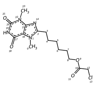 Cn1c(CCCCCCOC(=O)CCl)nc2c1c(=O)[nH]c(=O)n2C